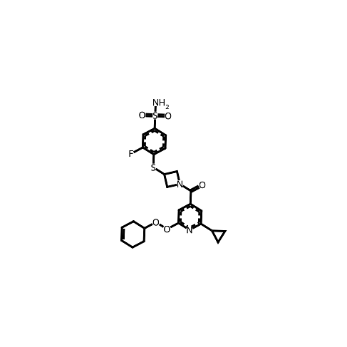 NS(=O)(=O)c1ccc(SC2CN(C(=O)c3cc(OOC4CC=CCC4)nc(C4CC4)c3)C2)c(F)c1